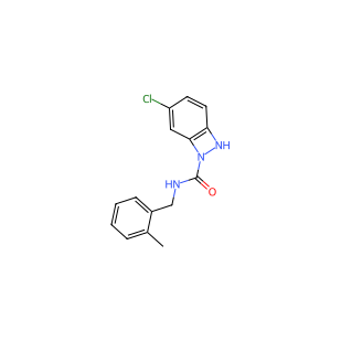 Cc1ccccc1CNC(=O)n1[nH]c2ccc(Cl)cc21